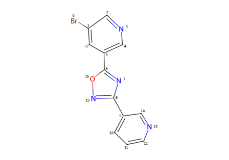 Brc1cncc(-c2nc(-c3cccnc3)no2)c1